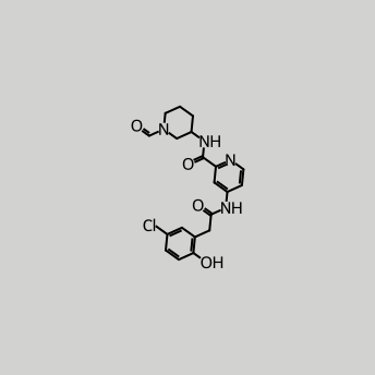 O=CN1CCCC(NC(=O)c2cc(NC(=O)Cc3cc(Cl)ccc3O)ccn2)C1